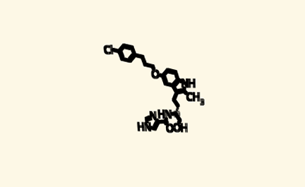 Cc1[nH]c2ccc(OCCCc3ccc(Cl)cc3)cc2c1CC[C@H](CO)NC(=O)c1c[nH]cn1